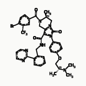 C[C@H](COc1ccc(-n2c(C(=O)NCc3ccccc3-c3ncccn3)c3n(c2=O)C[C@H](C)N(C(=O)c2ccc(Br)c(C(F)(F)F)c2)C3)cc1)N(C)C